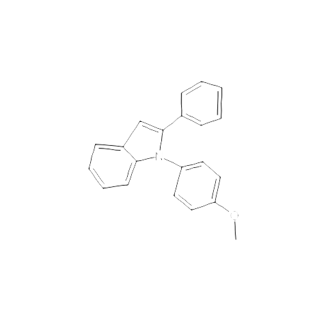 COc1ccc(-n2c(-c3ccccc3)cc3ccccc32)cc1